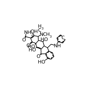 CN(C)C1C(O)=C(C(N)=O)C(=O)C2(O)C(O)=C3C(=O)c4c(O)cccc4C(CNc4ccccc4)C3C(O)C12